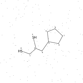 SCC(S)CC1CCCC1